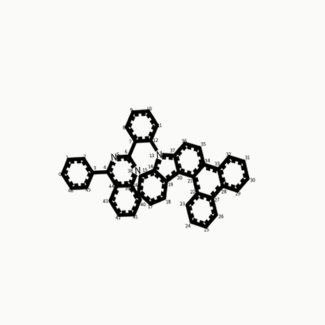 c1ccc(-c2nc(-c3ccccc3-n3c4ccccc4c4c5c6ccccc6c6ccccc6c5ccc43)nc3ccccc23)cc1